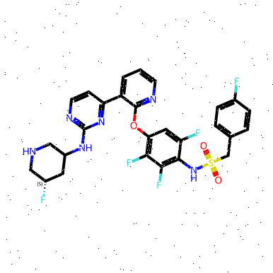 O=S(=O)(Cc1ccc(F)cc1)Nc1c(F)cc(Oc2ncccc2-c2ccnc(NC3CNC[C@@H](F)C3)n2)c(F)c1F